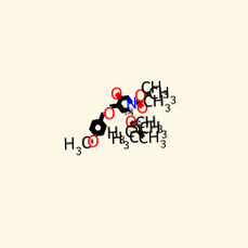 COc1ccc(COCC2=C[C@@H](CO[Si](C)(C)C(C)(C)C)N(C(=O)OC(C)(C)C)CC2=O)cc1